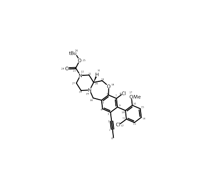 CC#Cc1cc2c(c(Cl)c1-c1c(Cl)cccc1OC)OC[C@H]1CN(C(=O)OC(C)(C)C)CCN1C2